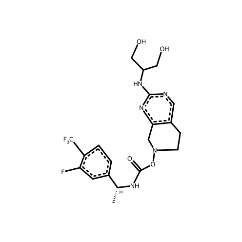 C[C@@H](NC(=O)ON1CCc2cnc(NC(CO)CO)nc2C1)c1ccc(C(F)(F)F)c(F)c1